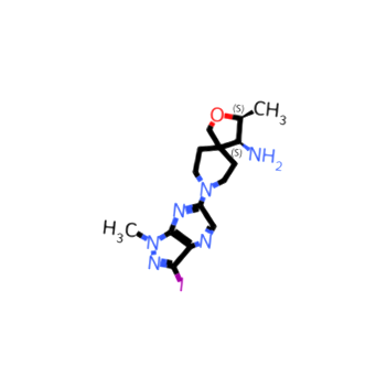 C[C@@H]1OCC2(CCN(c3cnc4c(I)nn(C)c4n3)CC2)[C@@H]1N